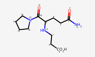 NC(=O)CCC(NCCC(=O)O)C(=O)N1CCCC1